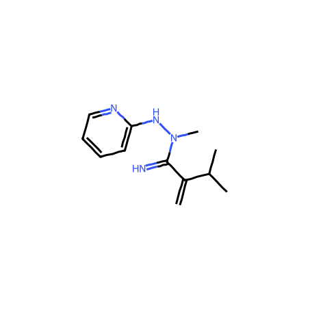 C=C(C(=N)N(C)Nc1ccccn1)C(C)C